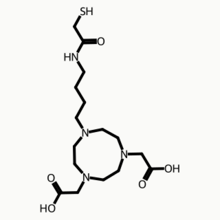 O=C(O)CN1CCN(CCCCNC(=O)CS)CCN(CC(=O)O)CC1